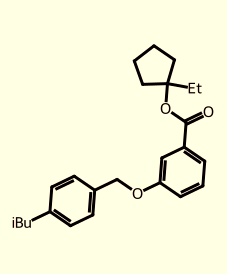 CCC(C)c1ccc(COc2cccc(C(=O)OC3(CC)CCCC3)c2)cc1